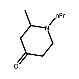 CCCN1CCC(=O)CC1C